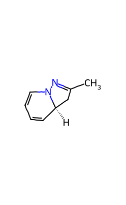 CC1=NN2C=CC=C[C@@H]2C1